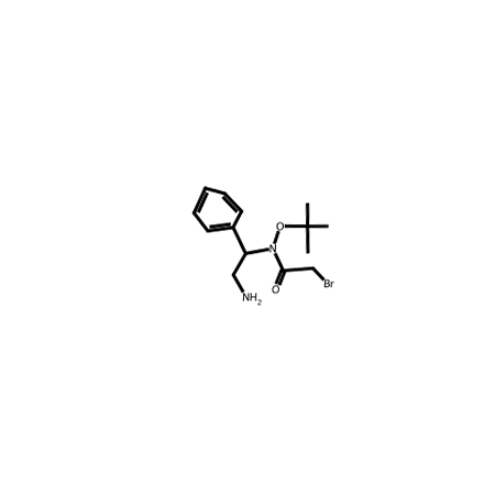 CC(C)(C)ON(C(=O)CBr)C(CN)c1ccccc1